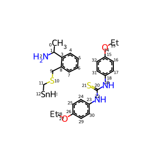 CC(N)c1ccccc1CS[CH2][SnH].CCOc1ccc(NC(=S)Nc2ccc(OCC)cc2)cc1